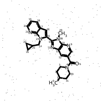 CC1CCN(C(=O)c2cnc3c(c2)nc(-c2cc4cccnc4n2CC2CC2)n3C)CC1